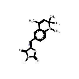 CCN1C(=O)S/C(=C\c2ccc3c(c2)C(C)=CC(C)(C)N3C)C1=O